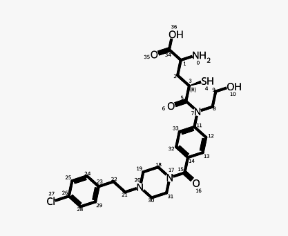 NC(C[C@@H](S)C(=O)N(CCO)c1ccc(C(=O)N2CCN(CCc3ccc(Cl)cc3)CC2)cc1)C(=O)O